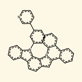 c1cncc(-c2cccc(-n3c4ccccc4c4ccc5cc6c7ccccc7c7ccccc7n6c5c43)c2)c1